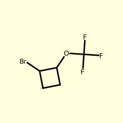 FC(F)(F)OC1C[CH]C1Br